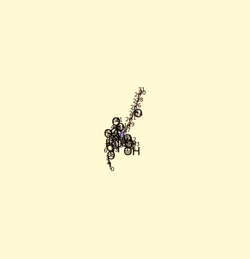 CC#CCOc1ccc(C[C@H](NC(=O)[C@@H](/C=C/CCCCCCC(=O)CCCCCCC)[C@@](O)(CCO)C(=O)OC(C)(C)C)C(=O)OCC(=O)OC)cc1